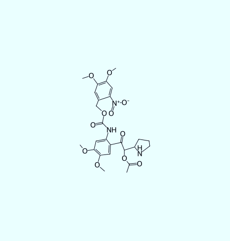 COc1cc(COC(=O)Nc2cc(OC)c(OC)cc2C(=O)C(OC(C)=O)C2CCCN2)c([N+](=O)[O-])cc1OC